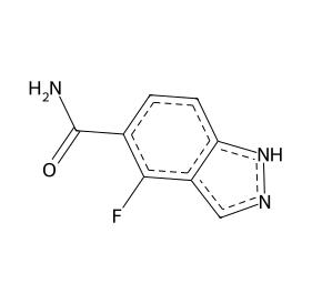 NC(=O)c1ccc2[nH]ncc2c1F